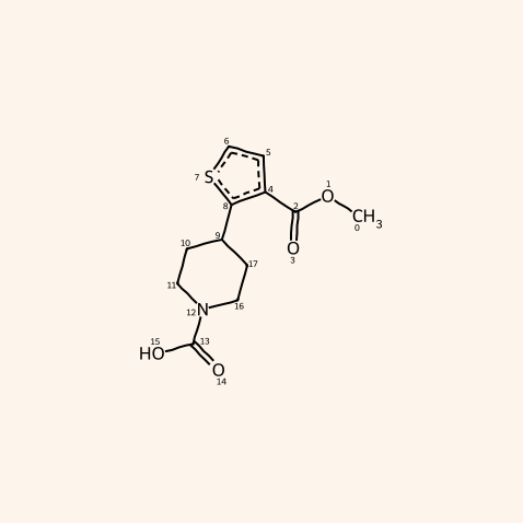 COC(=O)c1ccsc1C1CCN(C(=O)O)CC1